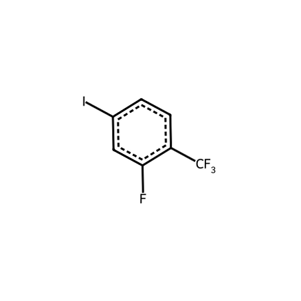 Fc1cc(I)ccc1C(F)(F)F